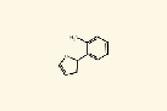 Nc1ccccc1[C]1CC=CO1